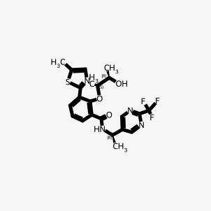 Cc1cnc(-c2cccc(C(=O)N[C@H](C)c3cnc(C(F)(F)F)nc3)c2O[C@@H](C)[C@@H](C)O)s1